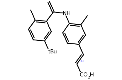 C=C(Nc1ccc(/C=C/C(=O)O)cc1C)c1cc(C(C)(C)C)ccc1C